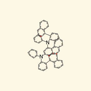 c1ccc(N(c2cc(N(c3ccccc3)c3ccccc3-c3cccc4ccccc34)c3c(ccc4ccccc43)c2)c2ccccc2-c2cccc3ccccc23)cc1